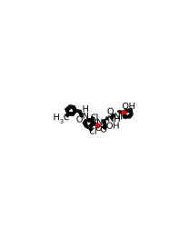 Cc1cccc(CC(=O)Nc2ccc(Cl)c(C(=O)N[C@@H](CNC(=O)NCc3ccccc3O)C(=O)O)c2Cl)c1